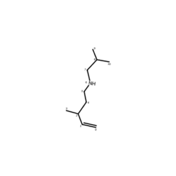 C=CC(C)CCNCC(C)C